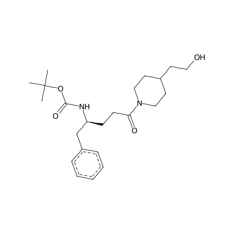 CC(C)(C)OC(=O)N[C@@H](CCC(=O)N1CCC(CCO)CC1)Cc1ccccc1